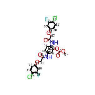 [CH2]OC(=O)OC1CC2(NC(=O)COc3ccc(Cl)c(F)c3)CCC1(NC(=O)COc1ccc(Cl)c(F)c1)CC2